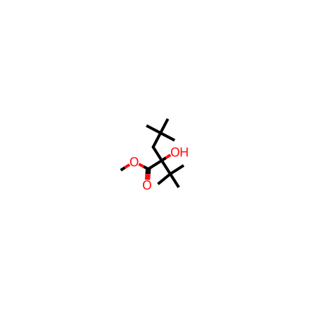 COC(=O)C(O)(CC(C)(C)C)C(C)(C)C